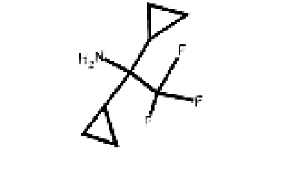 NC(C1CC1)(C1CC1)C(F)(F)F